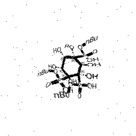 CCCCOP(=O)(O)[C@@]1(O)[C@@H](O)[C@@](O)(P(=O)(O)OCCCC)[C@](O)(P(=O)(O)OCCCC)[C@H](O)[C@@H]1O